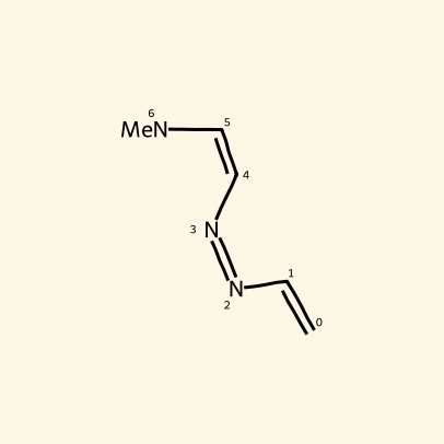 C=C/N=N\C=C/NC